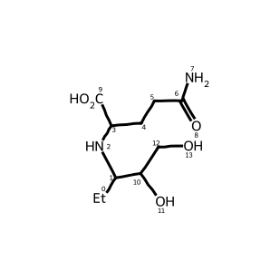 CCC(NC(CCC(N)=O)C(=O)O)C(O)CO